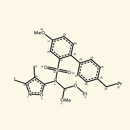 CCOC(OC)N(c1onc(C)c1C)S(=O)(=O)c1cc(OC)ccc1-c1ccc(CC(C)C)cc1